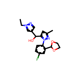 CCn1cc(C(O)c2cc(C)nn2-c2ccc(F)cc2C2OCCO2)cn1